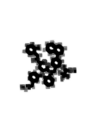 NCc1cccc(Oc2ccccc2N(Cc2ccc(-c3cccc4ccccc34)cc2)C(=O)CCC(=O)NCc2ccccc2F)c1.O=C(O)C(F)(F)F